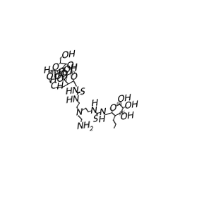 CCCC1C(CNC(=S)NCCN(CCN)CCNC(=S)NCC2O[C@@H]3OC4C(CO)O[C@H](OCCCCC2[C@@H](O)C3O)C(O)[C@@H]4O)O[C@H](O)C(O)[C@@H]1O